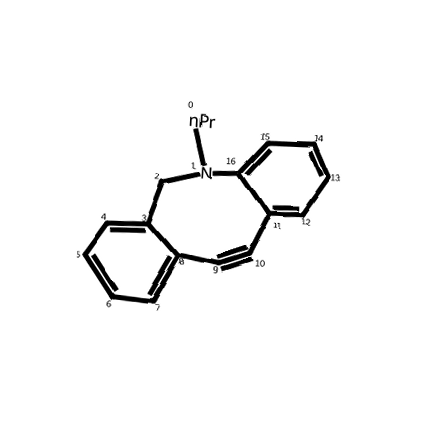 CCCN1Cc2ccccc2C#Cc2ccccc21